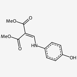 COC(=O)C(=CNc1ccc(O)cc1)C(=O)OC